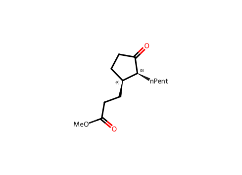 CCCCC[C@@H]1C(=O)CC[C@@H]1CCC(=O)OC